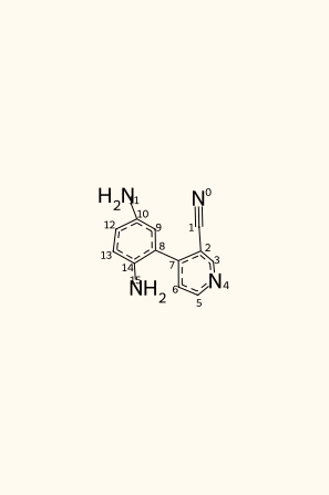 N#Cc1cnccc1-c1cc(N)ccc1N